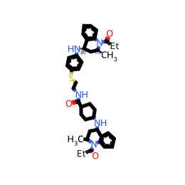 CCC(=O)N1c2ccccc2C(NC2CCC(C(=O)NCCSc3ccc(N[C@@H]4C[C@H](C)N(C(=O)CC)c5ccccc54)cc3)CC2)CC1C